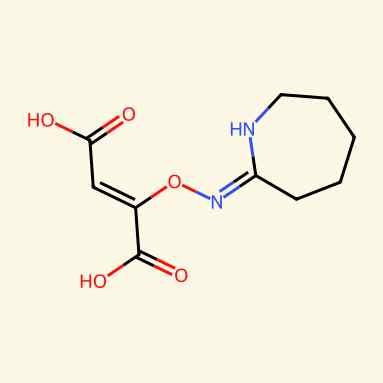 O=C(O)/C=C(\ON=C1CCCCCN1)C(=O)O